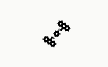 c1ccc2c(COc3ccc(OCc4c5ccccc5cc5ccccc45)cc3)c3ccccc3cc2c1